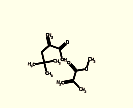 C=C(C)C(=O)OC.C=C(CC(C)(C)C)C(=O)O